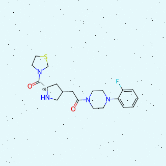 O=C(CC1CN[C@H](C(=O)N2CCSC2)C1)N1CCN(c2ccccc2F)CC1